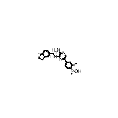 CP(O)c1ccc(-c2cnc(N)c(NCc3ccc4c(c3)CCO4)n2)cc1F